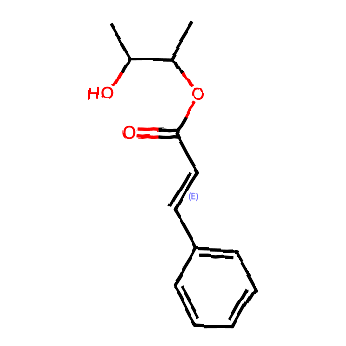 CC(O)C(C)OC(=O)/C=C/c1ccccc1